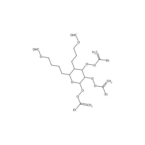 C=C(CC)OOC1OC(CCCCOC=O)C(CCCOC=O)C(OOC(=C)CC)C1OOC(=C)CC